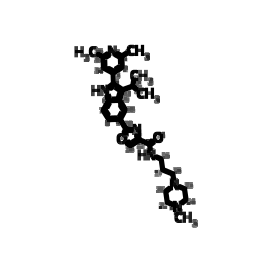 Cc1cc(-c2[nH]c3ccc(-c4nc(C(=O)NCCCN5CCN(C)CC5)co4)cc3c2C(C)C)cc(C)n1